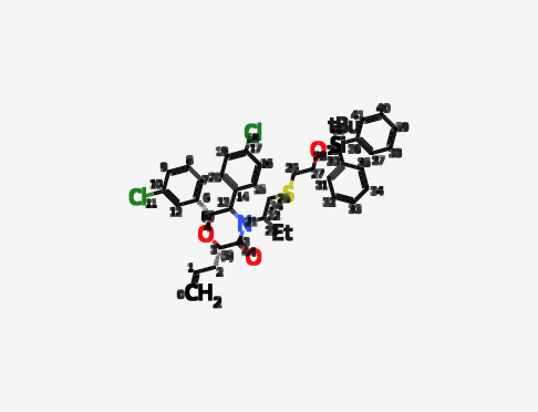 C=CC[C@@H]1O[C@H](c2cccc(Cl)c2)C(c2ccc(Cl)cc2)N(C(CC)CSCCO[Si](c2ccccc2)(c2ccccc2)C(C)(C)C)C1=O